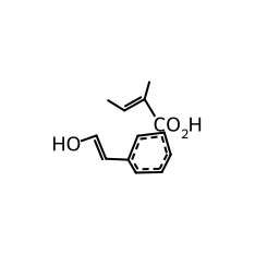 CC=C(C)C(=O)O.OC=Cc1ccccc1